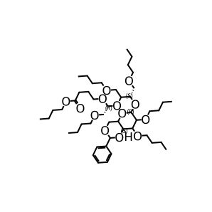 CCCCOCC(O[C@H](COCCCC)OCCCC(=O)OCCCC)[C@H](COCCCC)O[C@@H]1OC2COC(c3ccccc3)O[C@@H]2C(OCCCC)C1OCCCC